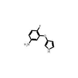 Nc1ccc(F)c(Oc2cc[nH]c2)c1